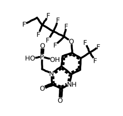 O=c1[nH]c2cc(C(F)(F)F)c(OC(F)(F)C(F)(F)C(F)(F)CF)cc2n(CP(=O)(O)O)c1=O